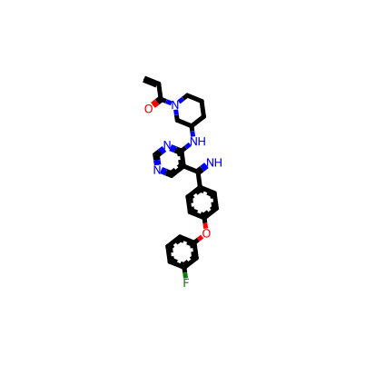 C=CC(=O)N1CCCC(Nc2ncncc2C(=N)c2ccc(Oc3cccc(F)c3)cc2)C1